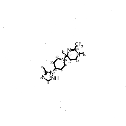 CC1=NCNN1C1CCN([C@@]2(C)CCN(C)C(C(F)(F)F)=N2)CC1